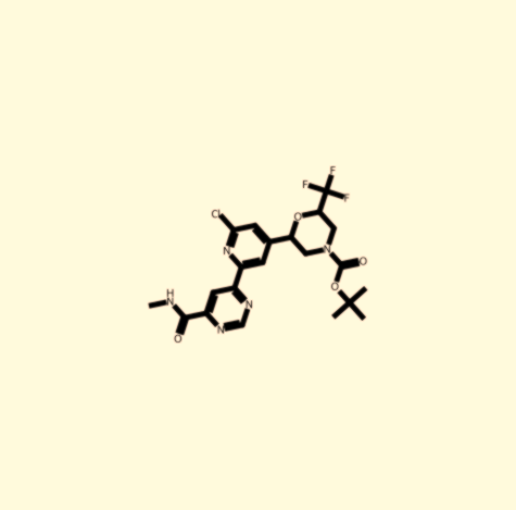 CNC(=O)c1cc(-c2cc(C3CN(C(=O)OC(C)(C)C)CC(C(F)(F)F)O3)cc(Cl)n2)ncn1